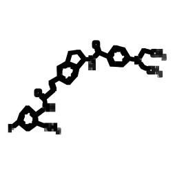 CCN(CC)c1ccc(C(=O)NC2CCc3cc(/C=C/C(=O)Nc4ccc(F)cc4N)ccc32)cc1